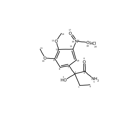 CCC(O)(C(N)=O)c1cc(OC)c(OC)c([N+](=O)[O-])c1.Cl